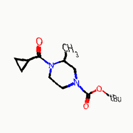 CC1CN(C(=O)OC(C)(C)C)CCN1C(=O)C1CC1